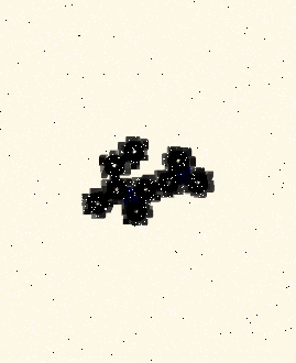 c1ccc(-c2cccc(-c3cc(-c4ccccc4)cc(-n4c5ccccc5c5cc(-c6ccc7c(c6)c6ccccc6n7-c6ccccc6)ccc54)c3)c2)cc1